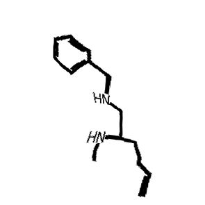 C=CCCC(CNCc1ccccc1)NC